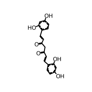 O=C(C=Cc1ccc(O)cc1O)CC(=O)C=Cc1ccc(O)cc1O